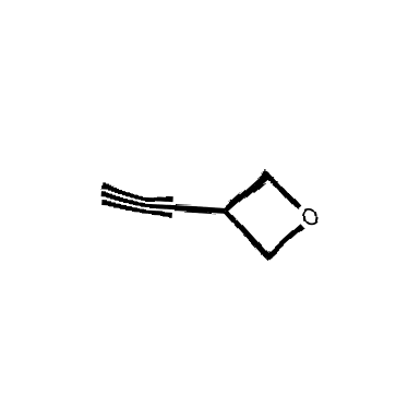 C#CC1COC1